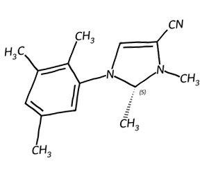 Cc1cc(C)c(C)c(N2C=C(C#N)N(C)[C@@H]2C)c1